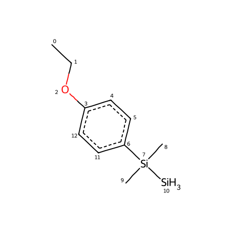 CCOc1ccc([Si](C)(C)[SiH3])cc1